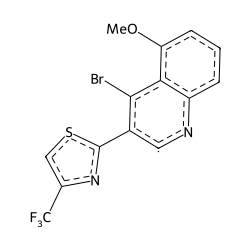 COc1cccc2n[c]c(-c3nc(C(F)(F)F)cs3)c(Br)c12